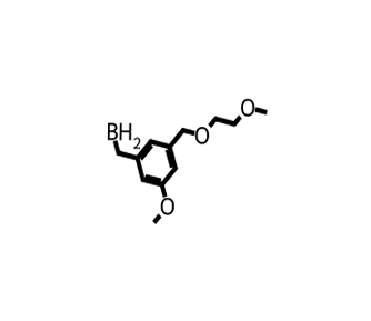 BCc1cc(COCCOC)cc(OC)c1